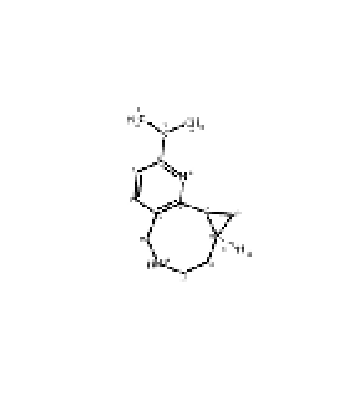 CN(C)c1ccc2c(n1)C1C[C@H]1CCNC2